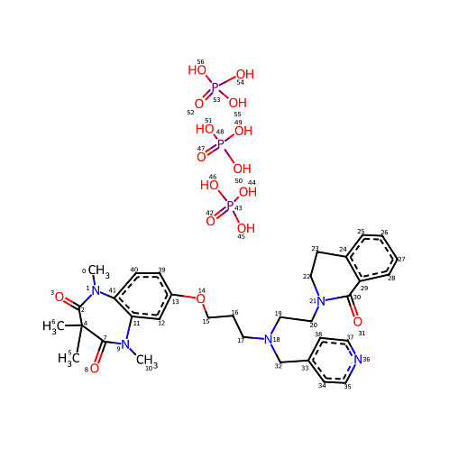 CN1C(=O)C(C)(C)C(=O)N(C)c2cc(OCCCN(CCN3CCc4ccccc4C3=O)Cc3ccncc3)ccc21.O=P(O)(O)O.O=P(O)(O)O.O=P(O)(O)O